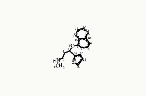 CNCCC(Oc1cccc2nccnc12)c1cccs1